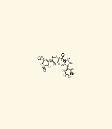 O=C(c1ccc(-c2cc(Cl)cc(Cl)c2)cc1)N1CCC(c2cccnc2)C1